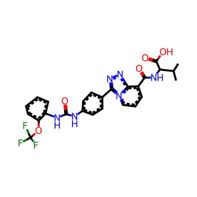 CC(C)C(NC(=O)c1cccn2c(-c3ccc(NC(=O)Nc4ccccc4OC(F)(F)F)cc3)nnc12)C(=O)O